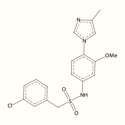 COc1cc(NS(=O)(=O)Cc2cccc(Cl)c2)ccc1-n1cnc(C)c1